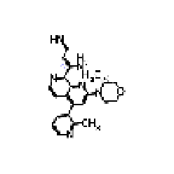 Cc1ncccc1-c1cc(N2CCOC[C@H]2C)nc2c(/C(N)=C/C=N)nccc12